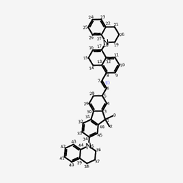 CC1(C)C2=CC(/C=C/c3cccc4c3CCC=C4N3CCCc4ccccc43)CC=C2c2ccc(N3CCCc4ccccc43)cc21